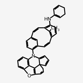 Cc1c2ccc(NC3=CCCC=C3)c1ccc1ccc(N3C4=CC=CC45CC=Cc4oc6cccc3c6c45)c(cc2)c1